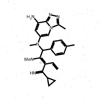 C=C/C(C(=N)C1CC1)=C(/NC)C(c1ccc(C)cc1)N(C)c1cc(N)c2nnc(C)n2c1